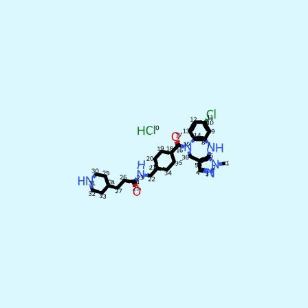 Cl.Cn1ncc2c1Nc1cc(Cl)ccc1N(C(=O)C1CCC(CNC(=O)CCC3CCNCC3)CC1)C2